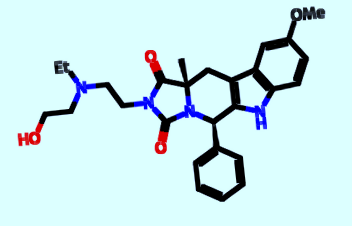 CCN(CCO)CCN1C(=O)N2[C@H](c3ccccc3)c3[nH]c4ccc(OC)cc4c3C[C@@]2(C)C1=O